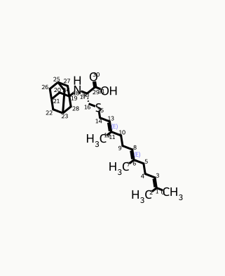 CC(C)=CCC/C(C)=C/CC/C(C)=C/CSC[C@H](NC12CC3CC(CC(C3)C1)C2)C(=O)O